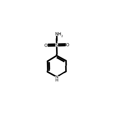 NS(=O)(=O)C1=CCNC=C1